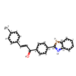 CC(C)c1ccc(C=CC(=O)c2ccc(-c3nc4ccccc4s3)cc2)cc1